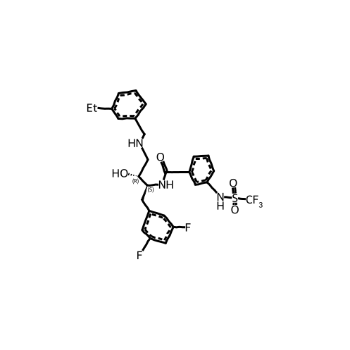 CCc1cccc(CNC[C@@H](O)[C@H](Cc2cc(F)cc(F)c2)NC(=O)c2cccc(NS(=O)(=O)C(F)(F)F)c2)c1